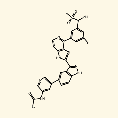 CCC(=O)Nc1cncc(-c2ccc3[nH]nc(-c4nc5c(-c6cc(F)cc(C(N)S(C)(=O)=O)c6)nccc5[nH]4)c3c2)c1